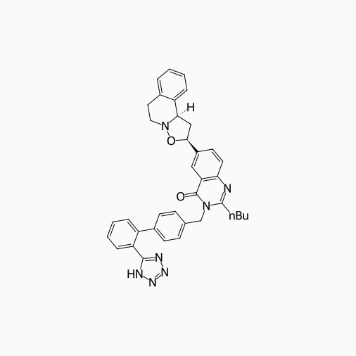 CCCCc1nc2ccc([C@@H]3C[C@@H]4c5ccccc5CCN4O3)cc2c(=O)n1Cc1ccc(-c2ccccc2-c2nnn[nH]2)cc1